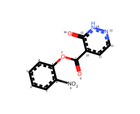 O=C(Oc1ccccc1[N+](=O)[O-])c1ccn[nH]c1=O